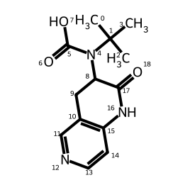 CC(C)(C)N(C(=O)O)C1Cc2cnccc2NC1=O